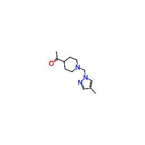 CC(=O)C1CCN(Cn2cc(C)cn2)CC1